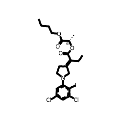 CCCCOC(=O)[C@H](C)OC(=O)C(CC)=C1CCN(c2cc(Cl)cc(Cl)c2I)C1